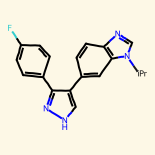 CC(C)n1cnc2ccc(-c3c[nH]nc3-c3ccc(F)cc3)cc21